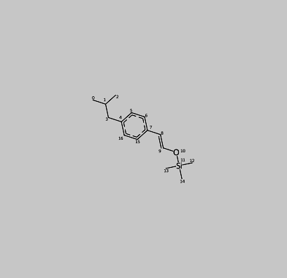 CC(C)Cc1ccc(C=CO[Si](C)(C)C)cc1